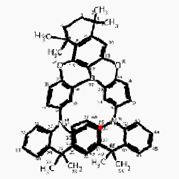 CC1(C)CCC(C)(C)c2c1cc1c3c2Oc2ccc(N4c5ccccc5C(C)(C)c5ccccc54)cc2B3c2cc(N3c4ccccc4C(C)(C)c4ccccc43)ccc2O1